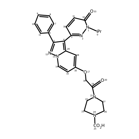 CC(C)n1nc(-c2c(-c3ccccc3)nn3ccc(OCC(=O)N4CCN(C(=O)O)CC4)cc23)ccc1=O